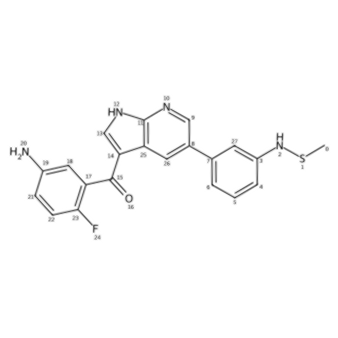 CSNc1cccc(-c2cnc3[nH]cc(C(=O)c4cc(N)ccc4F)c3c2)c1